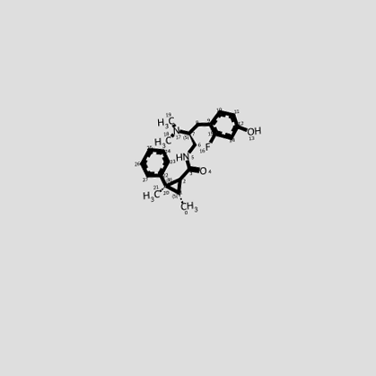 C[C@H]1C(C(=O)NC[C@H](Cc2ccc(O)cc2F)N(C)C)[C@]1(C)c1ccccc1